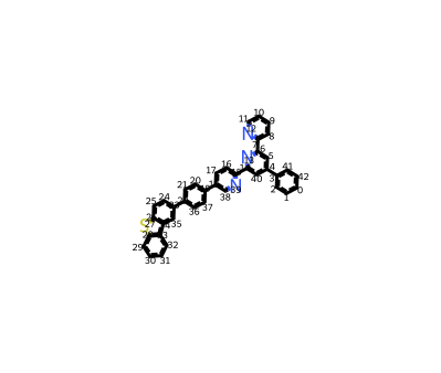 c1ccc(-c2cc(-c3ccccn3)nc(-c3ccc(-c4ccc(-c5ccc6sc7ccccc7c6c5)cc4)cn3)c2)cc1